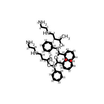 CC(CCNCCN)OB(c1ccccc1)C(OC(B(OC(C)CCNCCN)c1ccccc1)c1ccccc1)c1ccccc1